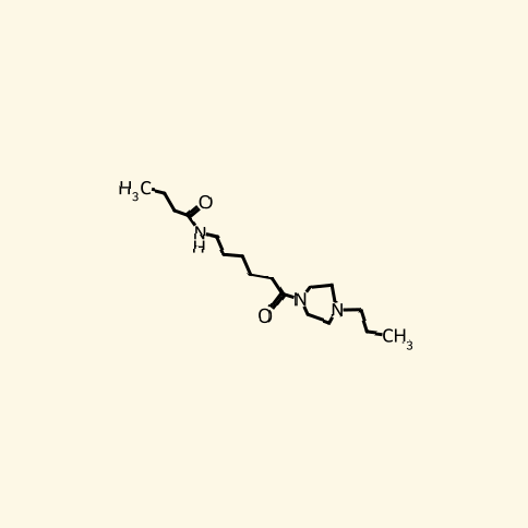 CCCC(=O)NCCCCCC(=O)N1CCN(CCC)CC1